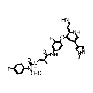 C/C(=C\NC(=O)N(C=O)c1ccc(F)cc1)C(=O)Nc1ccc(OC2=CC(c3cnn(C)c3)=CN/C2=C\C=N)c(F)c1